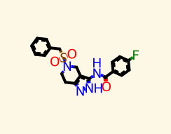 O=C(Nc1[nH]nc2c1CN(S(=O)(=O)Cc1ccccc1)CC2)c1ccc(F)cc1